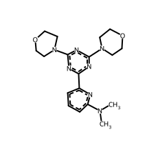 CN(C)c1cccc(-c2nc(N3CCOCC3)nc(N3CCOCC3)n2)n1